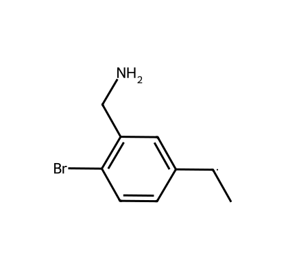 C[CH]c1ccc(Br)c(CN)c1